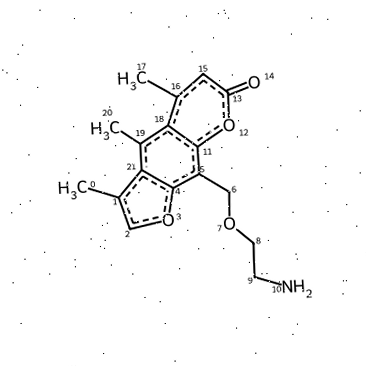 Cc1coc2c(COCCN)c3oc(=O)cc(C)c3c(C)c12